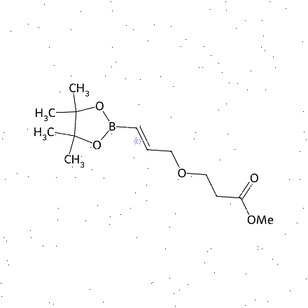 COC(=O)CCOC/C=C/B1OC(C)(C)C(C)(C)O1